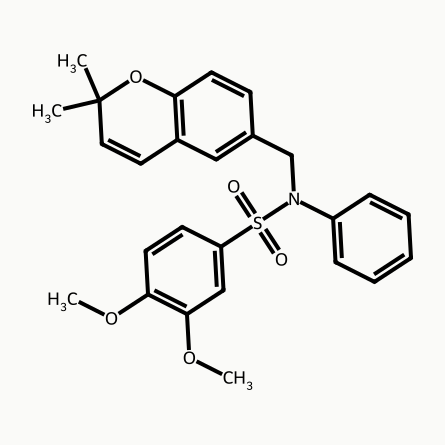 COc1ccc(S(=O)(=O)N(Cc2ccc3c(c2)C=CC(C)(C)O3)c2ccccc2)cc1OC